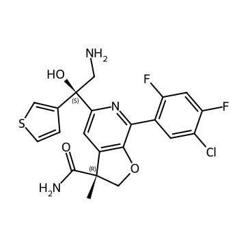 C[C@]1(C(N)=O)COc2c1cc([C@@](O)(CN)c1ccsc1)nc2-c1cc(Cl)c(F)cc1F